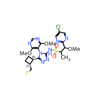 COc1ncnc(OC)c1-n1c(NS(=O)(=O)C(C)C(OC)c2ncc(Cl)cn2)nnc1[C@@H]1CC[C@@H]1CF